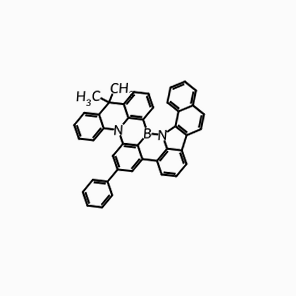 CC1(C)c2ccccc2N2c3cc(-c4ccccc4)cc4c3B(c3cccc1c32)n1c2c-4cccc2c2ccc3ccccc3c21